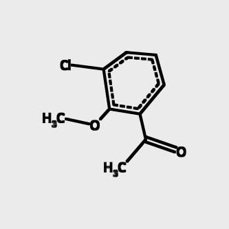 COc1c(Cl)cccc1C(C)=O